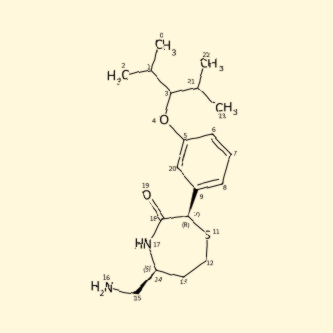 CC(C)C(Oc1cccc([C@H]2SCC[C@@H](CN)NC2=O)c1)C(C)C